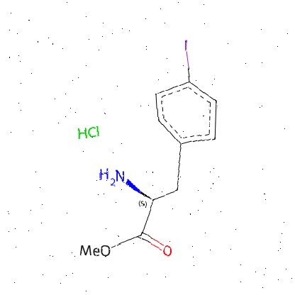 COC(=O)[C@@H](N)Cc1ccc(I)cc1.Cl